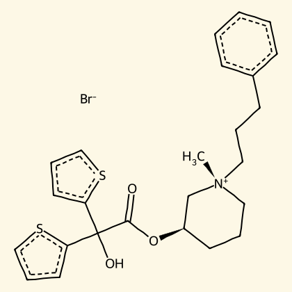 C[N@@+]1(CCCc2ccccc2)CCC[C@@H](OC(=O)C(O)(c2cccs2)c2cccs2)C1.[Br-]